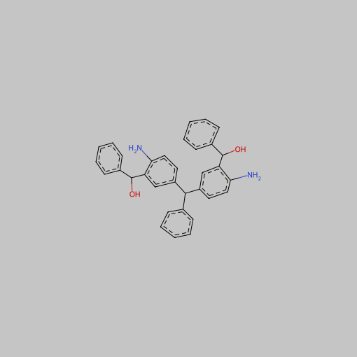 Nc1ccc(C(c2ccccc2)c2ccc(N)c(C(O)c3ccccc3)c2)cc1C(O)c1ccccc1